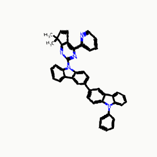 CC1(C)C=Cc2c(-c3ccccn3)nc(-n3c4ccccc4c4cc(-c5ccc6c(c5)c5ccccc5n6-c5ccccc5)ccc43)nc21